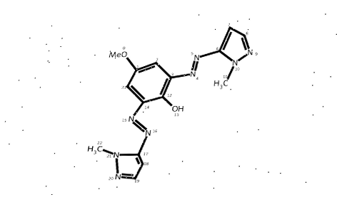 COc1cc(/N=N/c2ccnn2C)c(O)c(/N=N/c2ccnn2C)c1